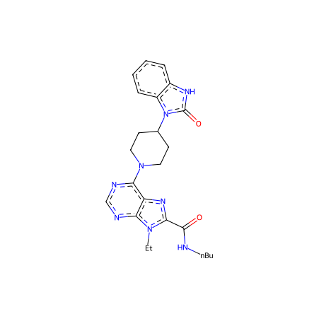 CCCCNC(=O)c1nc2c(N3CCC(n4c(=O)[nH]c5ccccc54)CC3)ncnc2n1CC